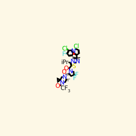 CC(C)C1=C(C(=O)N2CC(F)(F)C[C@@H]2C(=O)N2CC3(CC3)N(C(=O)C(F)(F)F)C[C@H]2C)SC2=N[C@@](C)(c3ccc(Cl)nc3)[C@@H](c3ccc(Cl)c(F)c3)N21